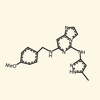 COc1ccc(CNc2cc3nccn3c(Nc3cc(C)[nH]n3)n2)cc1